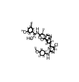 COc1cc(F)cc([C@@H](CO)NC(=O)[C@@H](C)n2cnn3cc(-c4nc(NC5CCC(OC)CC5)ncc4Cl)cc3c2=O)c1